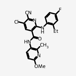 CCc1cc(F)ccc1Nc1nc(C#N)c(Cl)cc1C(=O)Nc1ccc(OC)nc1C